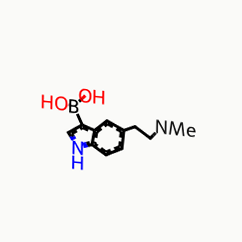 CNCCc1ccc2[nH]cc(B(O)O)c2c1